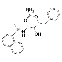 C[C@H](NCC(O)C(Cc1ccccc1)OC(N)=O)c1cccc2ccccc12